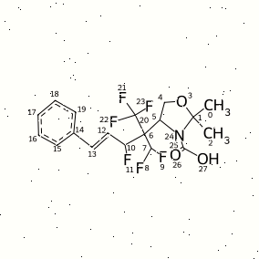 CC1(C)OCC(C(C(F)F)(C(F)C=Cc2ccccc2)C(F)(F)F)N1C(=O)O